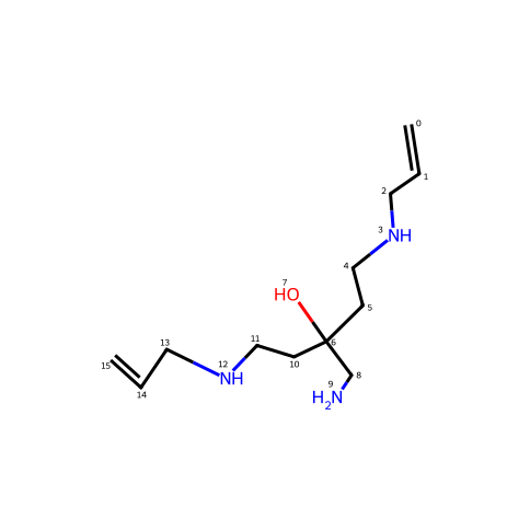 C=CCNCCC(O)(CN)CCNCC=C